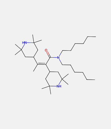 CCCCCCN(CCCCCC)C(=O)C(=C(C)C1CC(C)(C)NC(C)(C)C1)C1CC(C)(C)NC(C)(C)C1